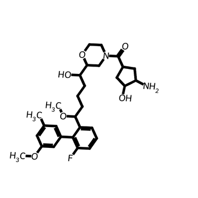 COc1cc(C)cc(-c2c(F)cccc2C(CCCC(O)C2CN(C(=O)C3CC(N)C(O)C3)CCO2)OC)c1